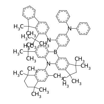 Cc1cc2c(cc1N1c3cc4c(cc3B3c5ccc(N(c6ccccc6)c6ccccc6)cc5N(c5ccc6c(c5C(C)(C)C)C(C)(C)c5ccccc5-6)c5cc(C(C)(C)C)cc1c53)C(C)(C)CC4(C)C)C(C)(C)CCC2(C)C